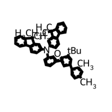 Cc1ccc(-c2cc(C(C)(C)C)c3oc4c(N(c5ccc6c(c5)C(C)(C)c5ccccc5-6)c5ccc6c(c5)C(C)(C)c5ccccc5-6)cccc4c3c2)c(C)c1